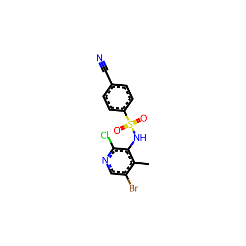 Cc1c(Br)cnc(Cl)c1NS(=O)(=O)c1ccc(C#N)cc1